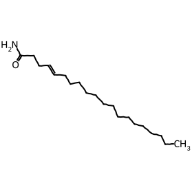 CCCCCCCCCCCCCCCC=CCCC(N)=O